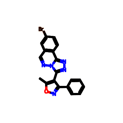 Cc1onc(-c2ccccc2)c1-c1nnc2c3ccc(Br)cc3cnn12